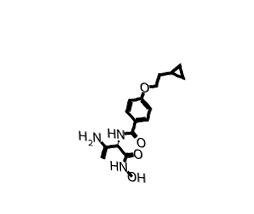 C=C(N)[C@H](NC(=O)c1ccc(OCCC2CC2)cc1)C(=O)NO